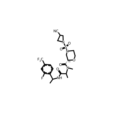 CC(NC(=O)C(C)N(C)C(=O)[C@@H]1CN(S(=O)(=O)N2CC(C#N)C2)CCO1)c1ccc(C(F)(F)F)cc1F